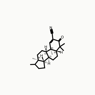 CC1CC[C@H]2[C@@H]3CC[C@H]4C(C)(C)C(=O)C(C#N)=C[C@]4(C)[C@H]3CC[C@]12C